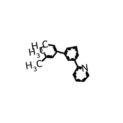 C/C=C(\C=C(C)C)c1cccc(-c2ccccn2)c1